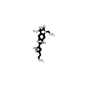 CCCc1cc(-c2nc3cc4c(cc3[nH]2)N(CC)C(=O)C4(C)C)[nH]n1